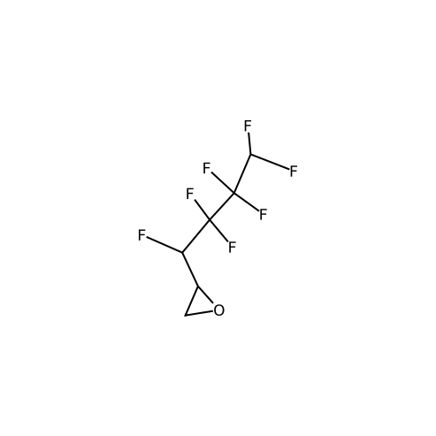 FC(F)C(F)(F)C(F)(F)C(F)C1CO1